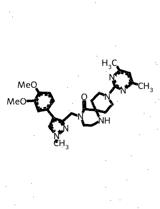 COc1ccc(-c2cn(C)nc2CN2CCNC3(CCN(c4nc(C)cc(C)n4)CC3)C2=O)cc1OC